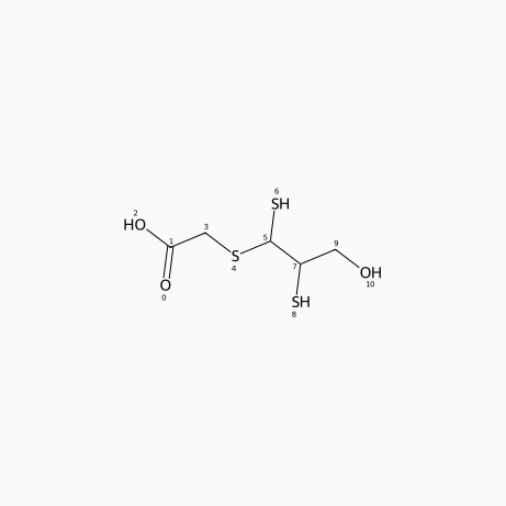 O=C(O)CSC(S)C(S)CO